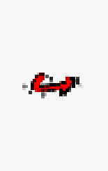 Cc1ncsc1-c1ccc(CNC(=O)[C@@H]2C[C@@H](O)CN2C(=O)[C@@H](NC(=O)CCOCCOCCOCCOCCOCCC(=O)NCCCCn2cnc(-c3cnc(O[C@@H]4CCN(C(=O)Cc5ccc(OC(F)(F)F)cc5)C[C@H]4F)c(C(N)=O)c3)c2)C(C)(C)C)cc1